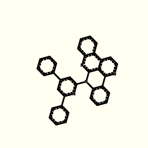 c1ccc(-c2cc(-c3ccccc3)nc(N3c4ccccc4-c4nccc5c4c3nc3ccccc35)c2)cc1